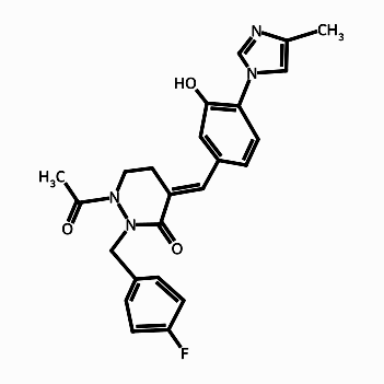 CC(=O)N1CC/C(=C\c2ccc(-n3cnc(C)c3)c(O)c2)C(=O)N1Cc1ccc(F)cc1